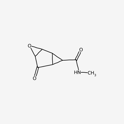 CNC(=O)C1C2C(=O)C3OC3C12